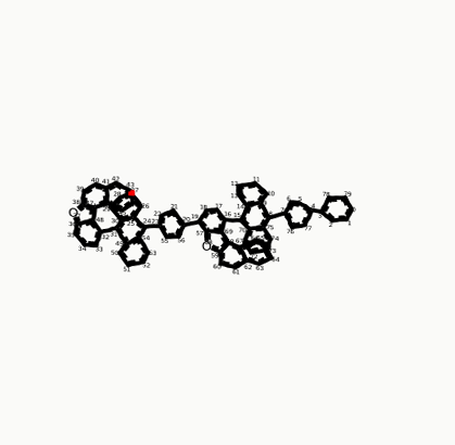 c1ccc(-c2ccc(-c3c4ccccc4c(-c4ccc(-c5ccc(-c6c7ccccc7c(-c7cccc8oc9ccc%10ccccc%10c9c78)c7ccccc67)cc5)c5oc6ccc7ccccc7c6c45)c4ccccc34)cc2)cc1